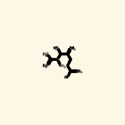 C=C(CCC(=C)C(C)N(C)C(=C)C)C(C)C